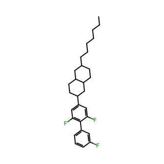 CCCCCCCC1CCC2CC(c3cc(F)c(-c4cccc(F)c4)c(F)c3)CCC2C1